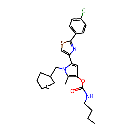 CCCCNC(=O)Oc1cc(-c2csc(-c3ccc(Cl)cc3)n2)n(CC2CCCCC2)c1C